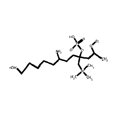 CCCCCCCCCCCCCCCC(N)CCC(CC(C)OCC)(C[N+](C)(C)C)OP(=O)([O-])O